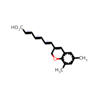 Cc1cc(C)c2c(c1)C=C(/C=C/C=C/C=C/C(=O)O)CO2